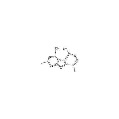 Cc1cc(O)c2c(c1)oc1c(C)ccc(C(C)C)c12